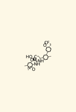 Cc1ccc(C(CC(=O)O)NC(=O)Nc2c(O)cc(C)n(C)c2=O)cc1-c1cccc(OC(F)(F)F)c1